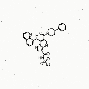 CCS(=O)(=O)NC(=O)c1cnn2c(Nc3cccc4cccnc34)c(C(=O)N3CCC(c4ccccc4)CC3)cnc12